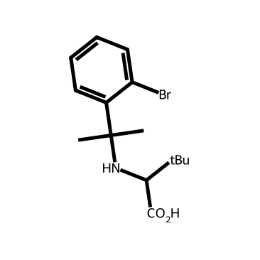 CC(C)(NC(C(=O)O)C(C)(C)C)c1ccccc1Br